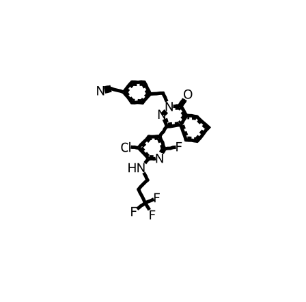 N#Cc1ccc(Cn2nc(-c3cc(Cl)c(NCCC(F)(F)F)nc3F)c3ccccc3c2=O)cc1